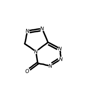 O=c1nnnc2n1CN=N2